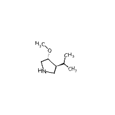 CO[C@H]1CNC[C@@H]1C(C)C